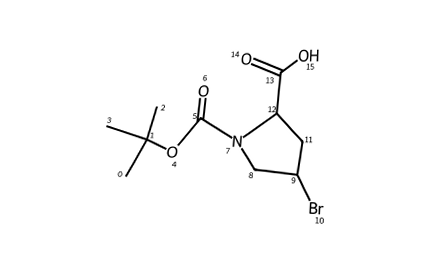 CC(C)(C)OC(=O)N1CC(Br)CC1C(=O)O